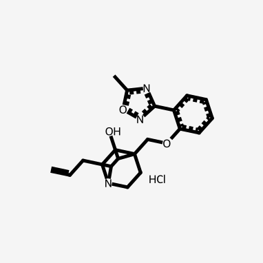 C=CCC1C(O)C2(COc3ccccc3-c3noc(C)n3)CCN1CC2.Cl